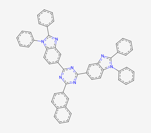 c1ccc(-c2nc3cc(-c4nc(-c5ccc6ccccc6c5)nc(-c5ccc6c(c5)nc(-c5ccccc5)n6-c5ccccc5)n4)ccc3n2-c2ccccc2)cc1